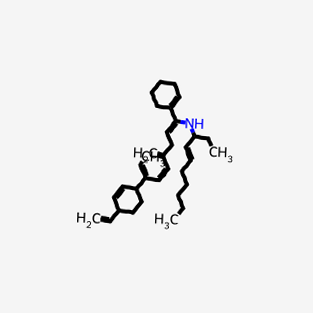 C=CC1C=CC(C(/C=C\C(=C)C/C=C(\NC(/C=C/CCCCC)CC)C2=CCCCC2)=C/C)CC1